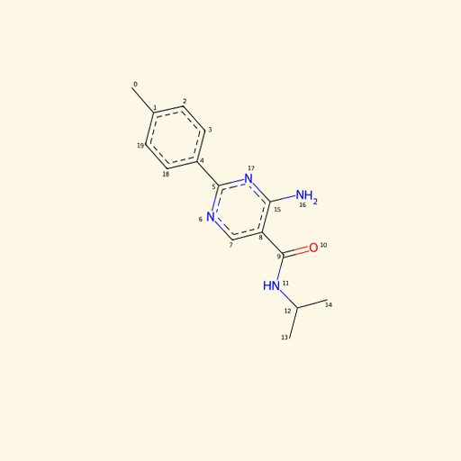 Cc1ccc(-c2ncc(C(=O)NC(C)C)c(N)n2)cc1